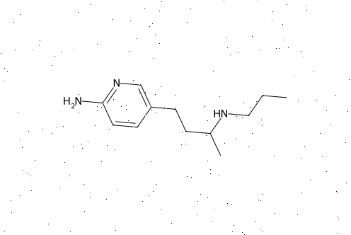 CCCNC(C)CCc1ccc(N)nc1